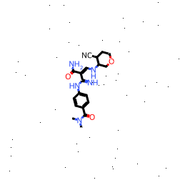 CN(C)C(=O)c1ccc(NC(=N)/C(=C\NC2COCCC2C#N)C(N)=O)cc1